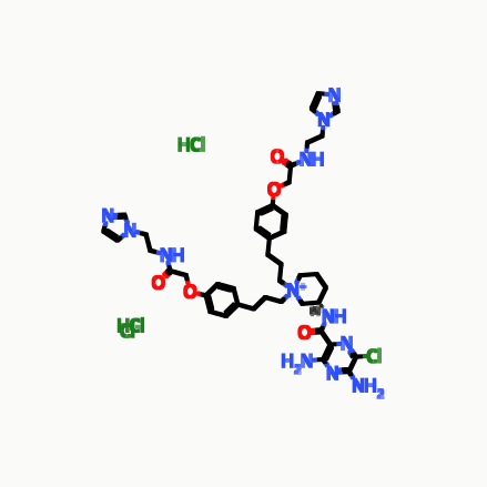 Cl.Cl.Nc1nc(N)c(C(=O)N[C@H]2CCC[N+](CCCc3ccc(OCC(=O)NCCn4ccnc4)cc3)(CCCc3ccc(OCC(=O)NCCn4ccnc4)cc3)C2)nc1Cl.[Cl-]